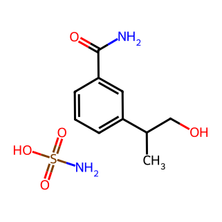 CC(CO)c1cccc(C(N)=O)c1.NS(=O)(=O)O